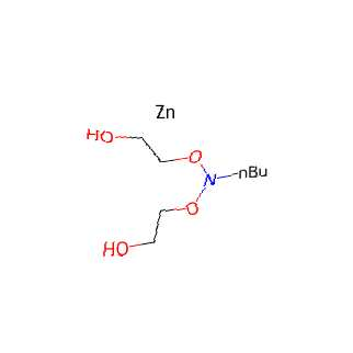 CCCCN(OCCO)OCCO.[Zn]